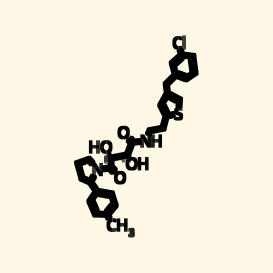 Cc1ccc(C2CCCN2C(=O)[C@H](O)[C@@H](O)C(=O)NCCc2cc(Cc3cccc(Cl)c3)cs2)cc1